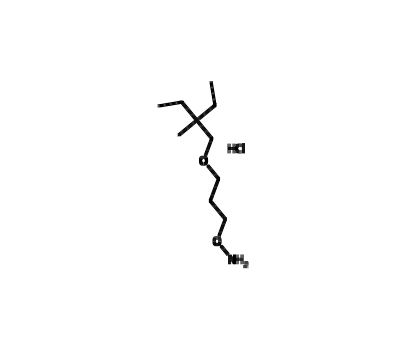 CCC(C)(CC)COCCCON.Cl